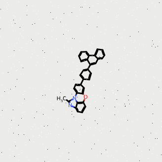 Cc1nc2cccc3c2n1-c1ccc(-c2ccc(-c4cc5ccccc5c5ccccc45)cc2)cc1O3